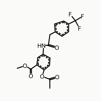 COC(=O)c1cc(NC(=O)Cc2ccc(C(F)(F)F)cc2)ccc1OC(C)=O